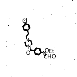 CCON(C=O)c1ccc(C(=O)N2CCN(CCc3ccc(Cl)cc3)CC2)cc1